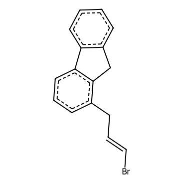 BrC=CCc1cccc2c1Cc1ccccc1-2